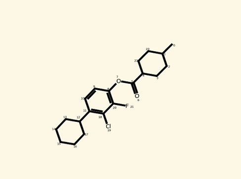 CC1CCC(C(=O)Oc2ccc(C3CCCCC3)c(Cl)c2F)CC1